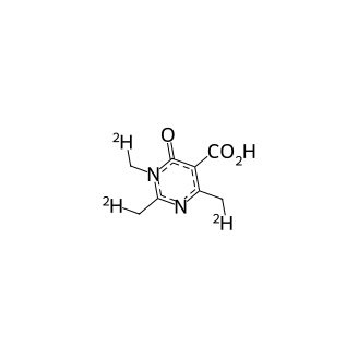 [2H]Cc1nc(C[2H])n(C[2H])c(=O)c1C(=O)O